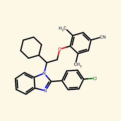 Cc1cc(C#N)cc(C)c1OCC(C1CCCCC1)n1c(-c2ccc(Cl)cc2)nc2ccccc21